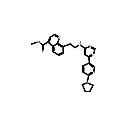 CNC(=O)c1ccnc2c(CCNc3cc(-c4ccc(N5CCCC5)nc4)ncn3)cccc12